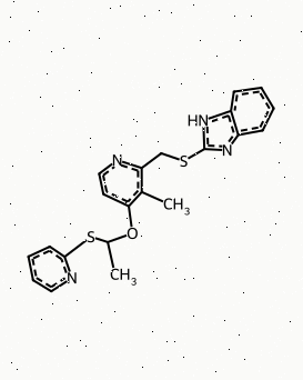 Cc1c(OC(C)Sc2ccccn2)ccnc1CSc1nc2ccccc2[nH]1